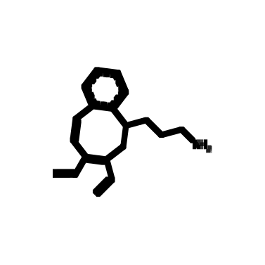 C=CC1=C(\C=C)CC(CCCN)c2ccccc2/C=C\1